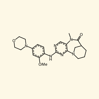 COc1cc(N2CCOCC2)ccc1Nc1ncc2c(n1)N1CCCC(C1)C(=O)N2C